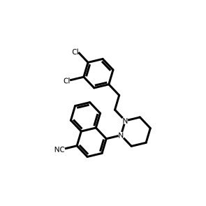 N#Cc1ccc(N2CCCCN2CCc2ccc(Cl)c(Cl)c2)c2ccccc12